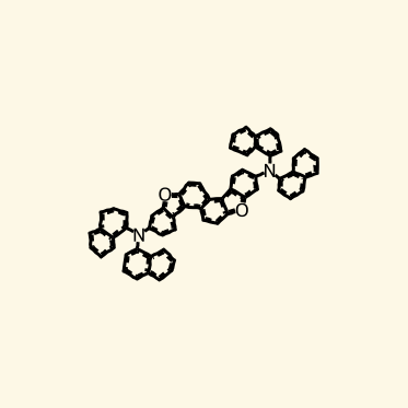 c1ccc2c(N(c3ccc4c(c3)oc3ccc5c(ccc6oc7cc(N(c8cccc9ccccc89)c8cccc9ccccc89)ccc7c65)c34)c3cccc4ccccc34)cccc2c1